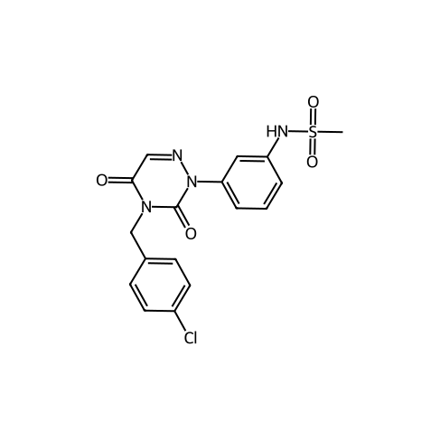 CS(=O)(=O)Nc1cccc(-n2ncc(=O)n(Cc3ccc(Cl)cc3)c2=O)c1